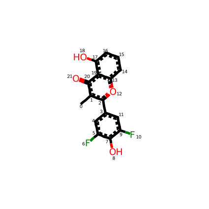 Cc1c(-c2cc(F)c(O)c(F)c2)oc2cccc(O)c2c1=O